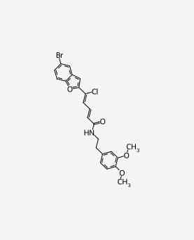 COc1ccc(CCNC(=O)/C=C/C=C(\Cl)c2cc3cc(Br)ccc3o2)cc1OC